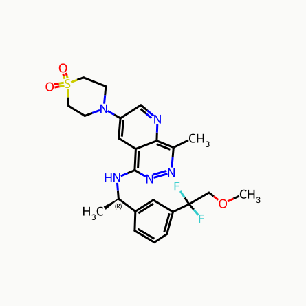 COCC(F)(F)c1cccc([C@@H](C)Nc2nnc(C)c3ncc(N4CCS(=O)(=O)CC4)cc23)c1